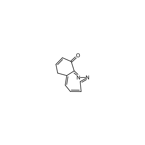 O=C1C=CC/C2=C/C=C\C=N\N=C/12